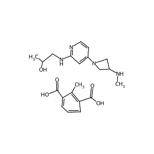 CNC1CN(c2ccnc(NCC(C)O)c2)C1.Cc1c(C(=O)O)cccc1C(=O)O